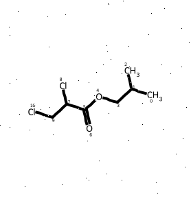 CC(C)COC(=O)C(Cl)CCl